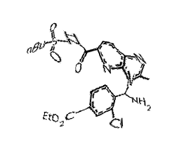 CCCCS(=O)(=O)NC(=O)c1ccc2nc(C)n(C(N)c3ccc(C(=O)OCC)cc3Cl)c2n1